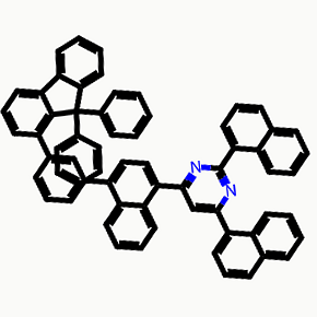 c1ccc(C2(c3ccccc3)c3ccccc3-c3cccc(-c4cccc(-c5ccc(-c6cc(-c7cccc8ccccc78)nc(-c7cccc8ccccc78)n6)c6ccccc56)c4)c32)cc1